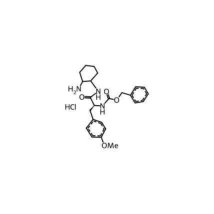 COc1ccc(C[C@H](NC(=O)OCc2ccccc2)C(=O)NC2CCCCC2N)cc1.Cl